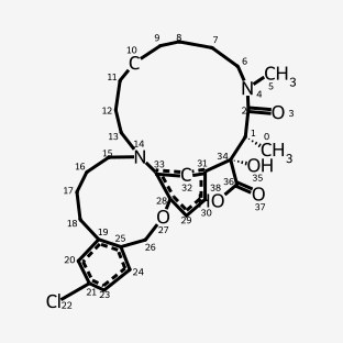 C[C@H]1C(=O)N(C)CCCCCCCCN2CCCCc3cc(Cl)ccc3COc3ccc(cc32)[C@]1(O)C(=O)O